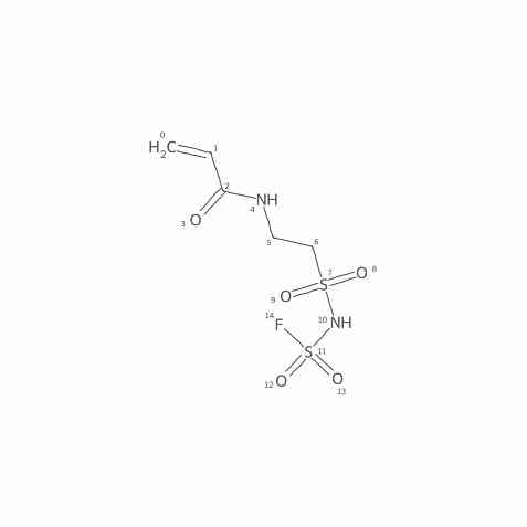 C=CC(=O)NCCS(=O)(=O)NS(=O)(=O)F